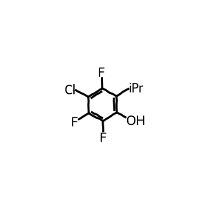 CC(C)c1c(O)c(F)c(F)c(Cl)c1F